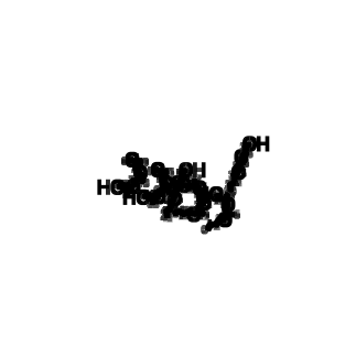 CCCCOC(C)COC(C)CO.CCCCOC(C)COC(C)COC(C)CO.CCCCOCCOCCO.CCCCOCCOCCO.COC(C)COC(C)COC(C)CO.COC(C)COC(C)COC(C)CO